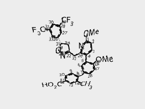 COc1ccc(-c2cc(-c3ccc(C(=O)O)cc3C)ccc2OC)c(CC2=NO[C@H](c3cc(C(F)(F)F)cc(C(F)(F)F)c3)C2)n1